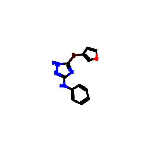 c1ccc(Nc2n[nH]c(Sc3ccoc3)n2)cc1